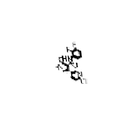 CN1C[C@@H](c2ccc(Cl)nc2)[C@H](C(=O)Nc2cccc(F)c2F)C1=O